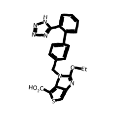 CCOc1nc2csc(C(=O)O)c2n1Cc1ccc(-c2ccccc2-c2nnn[nH]2)cc1